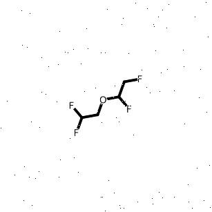 FCC(F)OCC(F)F